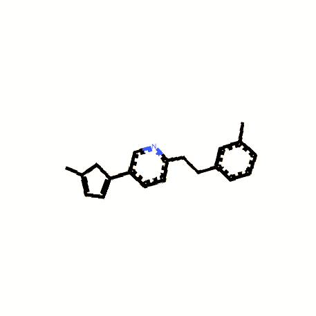 CC1=CC=C(c2ccc(CCc3cccc(C)c3)nc2)C1